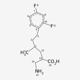 CC(CCc1ccc(F)cc1F)CC(CN)C(=O)O